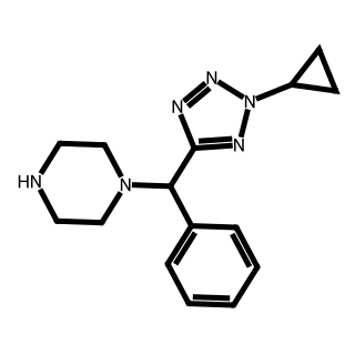 c1ccc(C(c2nnn(C3CC3)n2)N2CCNCC2)cc1